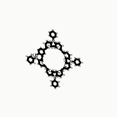 Cc1ccc2cc1c1cc(ccc1Nc1ccccc1)c1ccc3c(c1)c1cc(ccc1n3-c1ccccc1)c1ccc3c(c1)c1cc(ccc1n3-c1ccccc1)c1ccc3c(c1)c1cc2ccc1n3-c1ccccc1